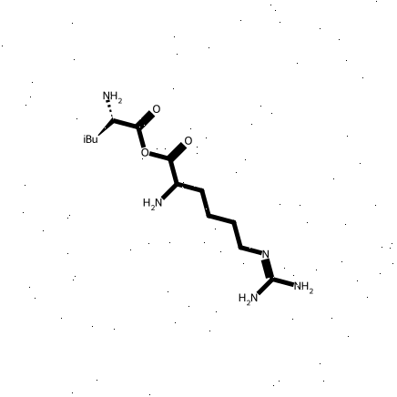 CC[C@H](C)[C@H](N)C(=O)OC(=O)C(N)CCCCN=C(N)N